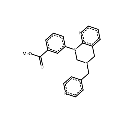 COC(=O)c1cccc(N2CN(Cc3ccncc3)Cc3cccnc32)c1